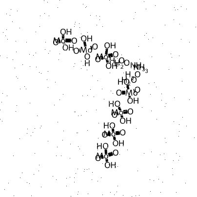 N.N.O.O.O.O.[O]=[Mo](=[O])([OH])[OH].[O]=[Mo](=[O])([OH])[OH].[O]=[Mo](=[O])([OH])[OH].[O]=[Mo](=[O])([OH])[OH].[O]=[Mo](=[O])([OH])[OH].[O]=[Mo](=[O])([OH])[OH].[O]=[Mo](=[O])([OH])[OH]